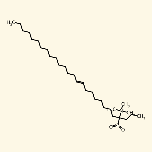 CCCCCCCCCCCCCCC=CCCCCCCCC(CCC)(P(=O)=O)[N+](C)(C)C